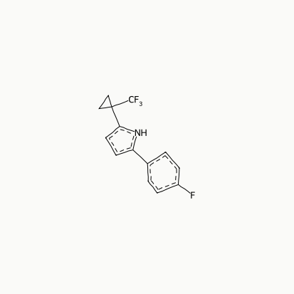 Fc1ccc(-c2ccc(C3(C(F)(F)F)CC3)[nH]2)cc1